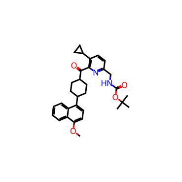 COc1ccc(C2CCC(C(=O)c3nc(CNC(=O)OC(C)(C)C)ccc3C3CC3)CC2)c2ccccc12